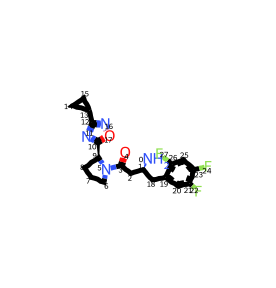 N[C@@H](CC(=O)N1CCC[C@H]1c1nc(C2CC2)no1)Cc1cc(F)c(F)cc1F